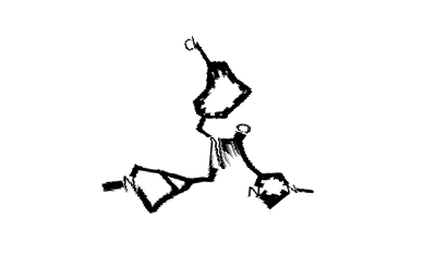 CN1CC2C(C1)C2CN(Cc1cccc(Cl)c1)C(=O)c1cn(C)cn1